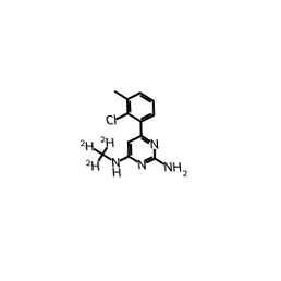 [2H]C([2H])([2H])Nc1cc(-c2cccc(C)c2Cl)nc(N)n1